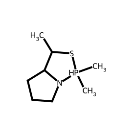 CC1S[PH](C)(C)N2CCCC12